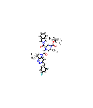 C[C@@H]1CN(CC(=O)N2CC(C)(C)c3nnc(Cc4ccc(F)cc4F)cc32)[C@H](C(=O)N2Cc3ccccc3C2)CN1C(=O)OC(C)(C)C